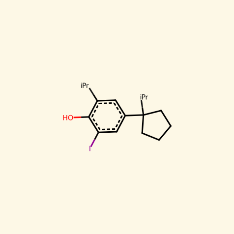 CC(C)c1cc(C2(C(C)C)CCCC2)cc(I)c1O